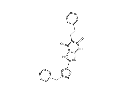 O=c1[nH]c2nc(-c3cnn(Cc4ccccc4)c3)[nH]c2c(=O)n1CCc1ccccc1